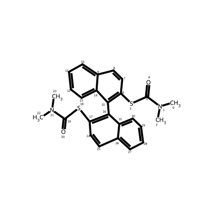 CN(C)C(=O)Sc1ccc2ccccc2c1-c1c(SC(=O)N(C)C)ccc2ccccc12